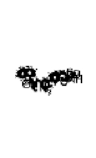 CN(Cc1cccc(-c2ccc(CC3SC(=O)NC3=O)cc2)c1)C(=O)c1cccc2ccccc12